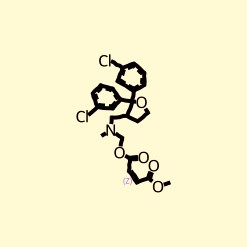 COC(=O)/C=C\C(=O)OCN(C)CC1CCOC1(c1cccc(Cl)c1)c1cccc(Cl)c1